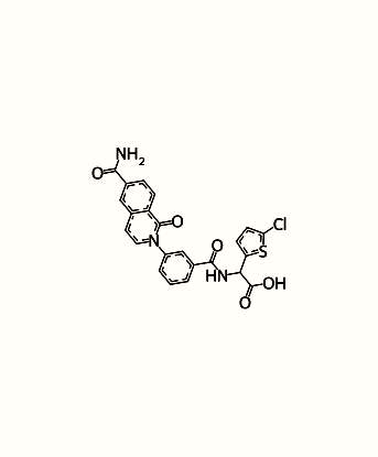 NC(=O)c1ccc2c(=O)n(-c3cccc(C(=O)NC(C(=O)O)c4ccc(Cl)s4)c3)ccc2c1